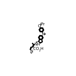 C=N/C=C\C(C(=O)O)=C(/C)NC[C@@H]1CCc2cc(N(C)c3ccc(OC(C)C)cc3)ccc21